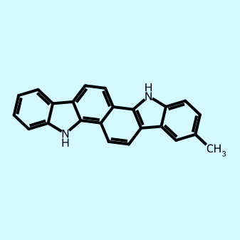 Cc1ccc2[nH]c3c(ccc4c3ccc3c5ccccc5[nH]c34)c2c1